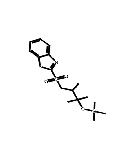 CC(CS(=O)(=O)c1nc2ccccc2s1)C(C)(C)O[Si](C)(C)C